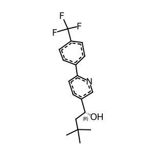 CC(C)(C)C[C@@H](O)c1ccc(-c2ccc(C(F)(F)F)cc2)nc1